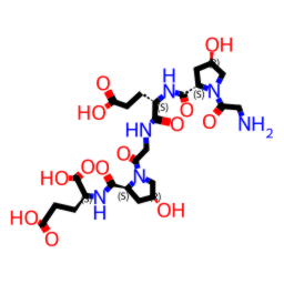 NCC(=O)N1C[C@H](O)C[C@H]1C(=O)N[C@@H](CCC(=O)O)C(=O)NCC(=O)N1C[C@H](O)C[C@H]1C(=O)N[C@@H](CCC(=O)O)C(=O)O